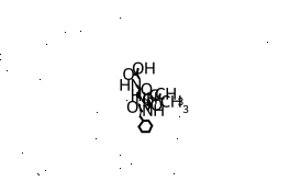 CC(C)(C)OC(=O)N[C@@H](CC1CCCCC1)C(=O)NCC(=O)NCC(=O)O